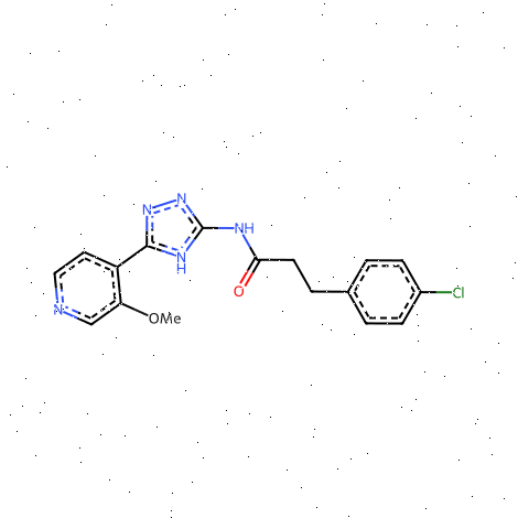 COc1cnccc1-c1nnc(NC(=O)CCc2ccc(Cl)cc2)[nH]1